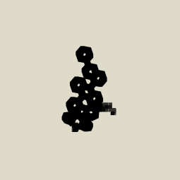 Nc1ccc2c(c1)-c1c(-c3c4ccccc4c(-c4cccc5cc(-c6ccccc6)ccc45)c4ccccc34)cccc1C21c2ccccc2Sc2ccccc21